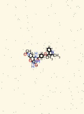 CC(=O)N1CCC(C(NC(=O)c2ccc(OC(C)c3cc(C)nc4ccccc34)cc2)C2NC(=O)NC2=O)CC1